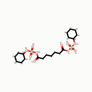 O=C(CCCCCC(=O)OS(=O)(=O)OC1CCCCC1)OS(=O)(=O)OC1CCCCC1